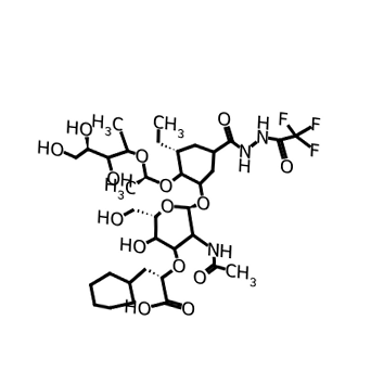 CC[C@@H]1CC(C(=O)NNC(=O)C(F)(F)F)CC(O[C@@H]2O[C@@H](CO)C(O)C(O[C@@H](CC3CCCCC3)C(=O)O)C2NC(C)=O)C1O[C@@H](C)OC(C)C(O)[C@H](O)CO